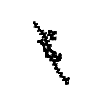 C1CO1.CCCCCCCCCCCCCCCCCC(=O)O.CCCCCCCCCCCCCCCCCC(=O)O.OCC(O)CO